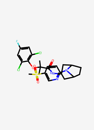 CC(C)(Oc1c(Cl)cc(F)cc1Cl)C(=O)NC1CC2CCC(C1)N2c1ccc(S(C)(=O)=O)cn1